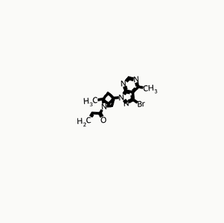 C=CC(=O)N1CC2(n3nc(Br)c4c(C)ncnc43)CC1(C)C2